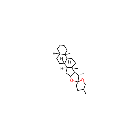 C[C@H]1CC[C@@]2(OC1)OC1C[C@H]3[C@@H]4CC[C@@H]5CCCC[C@]5(C)[C@H]4CC[C@]3(C)C1[C@@H]2C